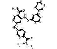 CN(C)C(=O)c1ccc(Nc2cc(NCc3cccc(-c4cncnc4)c3)c(C(N)=O)cn2)cc1